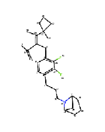 C=C(C)/C(Cc1ccc(CCCN2C3CCCC2C3)c(F)c1F)=C(\C)C1(C)CCC1